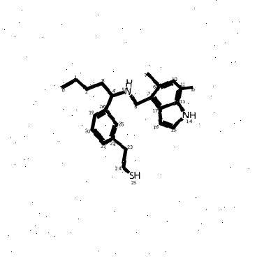 CCCCC(NCc1c(C)cc(C)c2[nH]ccc12)c1cccc(CCS)c1